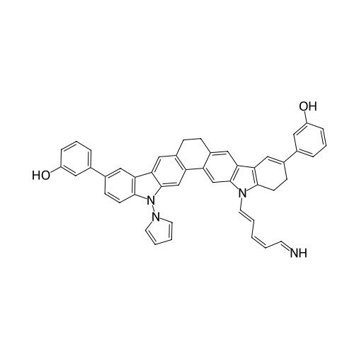 N=C/C=C\C=C\n1c2c(c3cc4c(cc31)-c1cc3c(cc1CC4)c1cc(-c4cccc(O)c4)ccc1n3-n1cccc1)C=C(c1cccc(O)c1)CC2